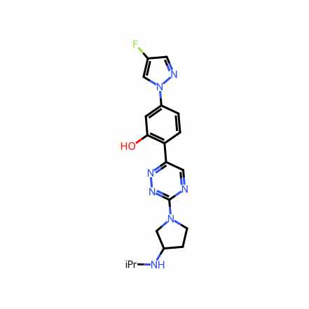 CC(C)NC1CCN(c2ncc(-c3ccc(-n4cc(F)cn4)cc3O)nn2)C1